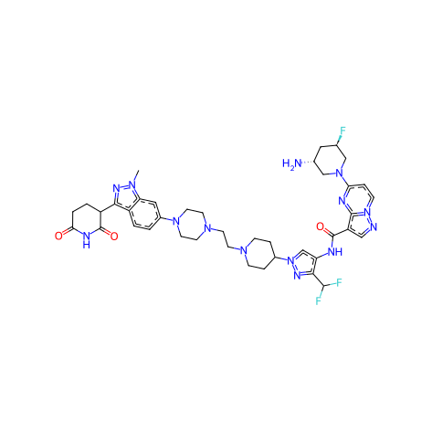 Cn1nc(C2CCC(=O)NC2=O)c2ccc(N3CCN(CCN4CCC(n5cc(NC(=O)c6cnn7ccc(N8C[C@H](N)C[C@@H](F)C8)nc67)c(C(F)F)n5)CC4)CC3)cc21